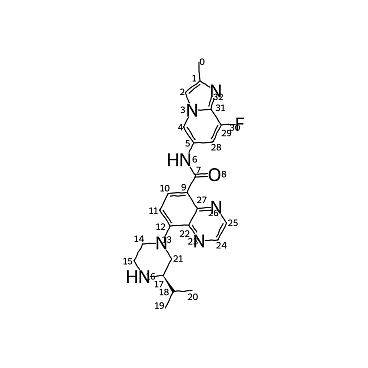 Cc1cn2cc(NC(=O)c3ccc(N4CCN[C@H](C(C)C)C4)c4nccnc34)cc(F)c2n1